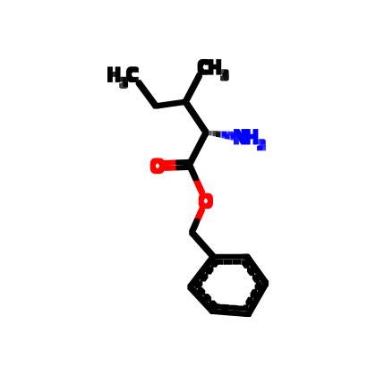 CCC(C)[C@H](N)C(=O)OCc1ccccc1